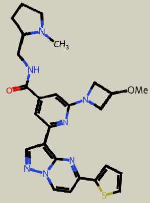 COC1CN(c2cc(C(=O)NCC3CCCN3C)cc(-c3cnn4ccc(-c5cccs5)nc34)n2)C1